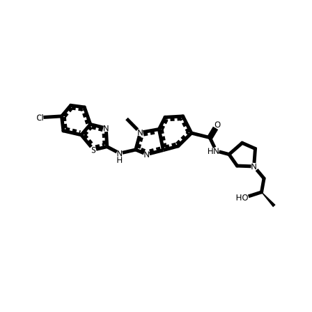 C[C@@H](O)CN1CCC(NC(=O)c2ccc3c(c2)nc(Nc2nc4ccc(Cl)cc4s2)n3C)C1